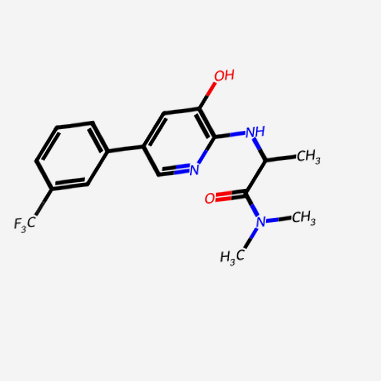 CC(Nc1ncc(-c2cccc(C(F)(F)F)c2)cc1O)C(=O)N(C)C